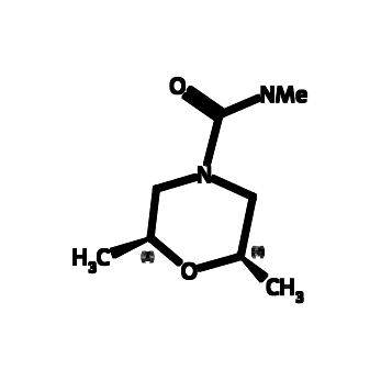 CNC(=O)N1C[C@@H](C)O[C@@H](C)C1